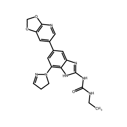 CCNC(=O)Nc1nc2cc(-c3cnc4c(c3)OCO4)cc(N3CCC=N3)c2[nH]1